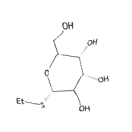 CCS[C@@H]1OC(CO)[C@H](O)[C@H](O)C1O